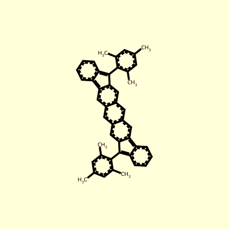 Cc1cc(C)c(C2=c3ccccc3=c3cc4cc5cc6c(cc5cc4cc32)=c2ccccc2=C6c2c(C)cc(C)cc2C)c(C)c1